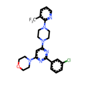 FC(F)(F)c1cccnc1N1CCN(c2cc(N3CCOCC3)nc(-c3cccc(Cl)c3)n2)CC1